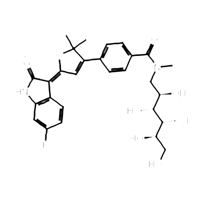 CN(C[C@@H](O)[C@@H](O)[C@H](O)[C@H](O)CO)C(=O)c1ccc(C2=CC(=C3C(=O)Nc4cc(F)ccc43)OC2(C)C)cc1